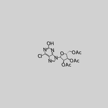 CC(=O)OC[C@H]1OC(n2cnc3c(Cl)nc(O)nc32)[C@H](OC(C)=O)[C@@H]1OC(C)=O